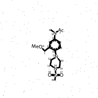 COCc1cc(N(C)C(C)=O)ccc1N1CCN(S(C)(=O)=O)CC1